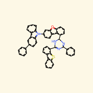 c1ccc(C2=NC(c3cccc4oc5cc(-n6c7ccccc7c7cc(-c8ccccc8)ccc76)ccc5c34)NC(c3cccc4c3sc3ccccc34)=N2)cc1